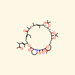 CC/C1=C\CC(/C(C)=C/C(C)C(C)=O)OC(=O)C2CCCCN2C(=O)C(=O)C2(O)OC(CCC2C)CC2OC(C)(C)OC(CC3CC(OC(C)(C)O3)/C(C)=C/C(C)CC(C)C1=O)C2C